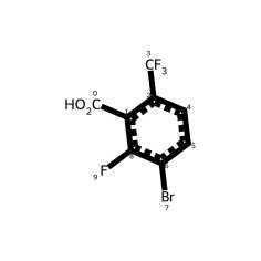 O=C(O)c1c(C(F)(F)F)ccc(Br)c1F